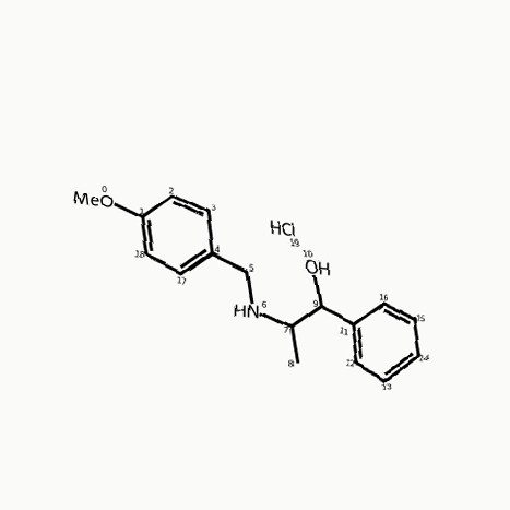 COc1ccc(CNC(C)C(O)c2ccccc2)cc1.Cl